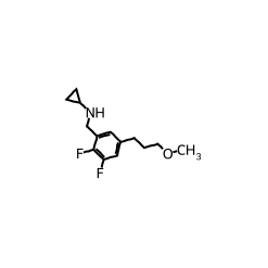 COCCCc1cc(F)c(F)c(CNC2CC2)c1